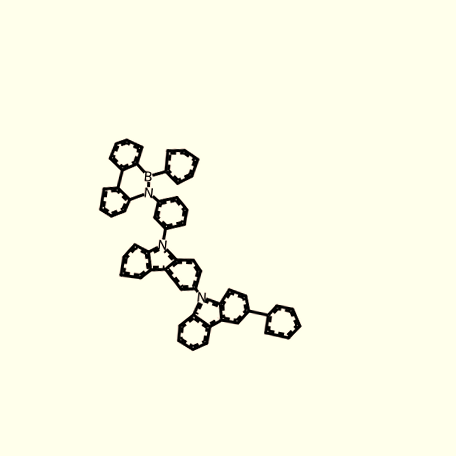 c1ccc(B2c3ccccc3-c3ccccc3N2c2cccc(-n3c4ccccc4c4cc(-n5c6ccccc6c6cc(-c7ccccc7)ccc65)ccc43)c2)cc1